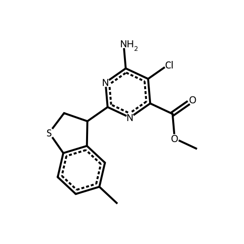 COC(=O)c1nc(C2CSc3ccc(C)cc32)nc(N)c1Cl